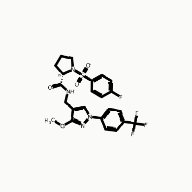 COc1nn(-c2ccc(C(F)(F)F)cc2)cc1CNC(=O)[C@@H]1CCCN1S(=O)(=O)c1ccc(F)cc1